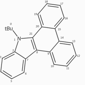 CC(C)(C)n1c2ccccc2c2c3ccccc3c3ccccc3c21